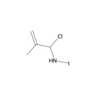 C=C(C)C(Cl)NI